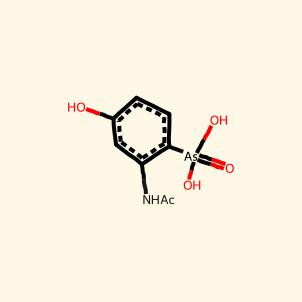 CC(=O)Nc1cc(O)ccc1[As](=O)(O)O